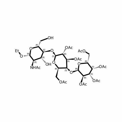 CCO[C@@H]1O[C@H](CO)[C@@H](O[C@@H]2O[C@H](COC(C)=O)[C@H](O[C@H]3O[C@H](COC(C)=O)[C@H](OC(C)=O)[C@H](OC(C)=O)[C@H]3OC(C)=O)[C@H](OC(C)=O)[C@H]2OC(C)=O)[C@H](O)[C@H]1NC(C)=O